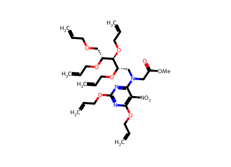 C=CCOC[C@@H](OCC=C)[C@@H](OCC=C)[C@H](CN(CC(=O)OC)c1nc(OCC=C)nc(OCC=C)c1[N+](=O)[O-])OCC=C